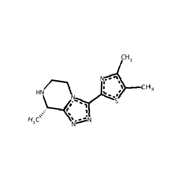 Cc1nc(-c2nnc3n2CCN[C@H]3C)sc1C